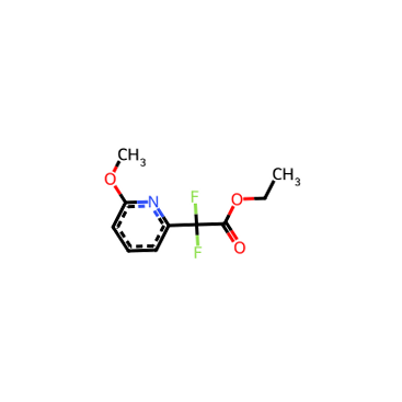 CCOC(=O)C(F)(F)c1cccc(OC)n1